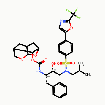 CC(C)CN(C[C@@H](O)[C@H](Cc1ccccc1)NC(=O)OC1C2COC3OC1CC3C2)S(=O)(=O)c1ccc(-c2cnc(C(F)(F)F)o2)cc1